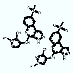 CC(C)n1cc(Nc2nc3ccc(S(C)(=O)=O)cc3c3cn[nH]c23)c(C#N)n1.CC(C)n1ncc(Nc2nc3ccc(S(C)(=O)=O)cc3c3cn[nH]c23)c1C#N